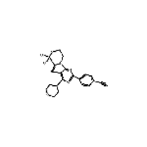 CC1(C)OCCn2c1nc1c(N3CCOCC3)nc(-c3ccc(C#N)cc3)nc12